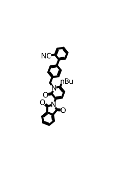 CCCCc1ccc(N2C(=O)c3ccccc3C2=O)c(=O)n1Cc1ccc(-c2ccccc2C#N)cc1